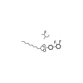 CCC(C)C(C)F.CCCCCCCCCC1COC(c2ccc(-c3cccc(F)c3F)cc2)OC1